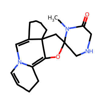 CN1C(=O)CNCC12CC13CCCCC1=CN1C=CCCC1=C3O2